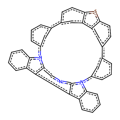 c1ccc2c(c1)c1c3c4ccccc4n4c5cccc(c5)c5ccc6sc7ccc(cc7c6c5)c5cccc(c5)n2c1cnc34